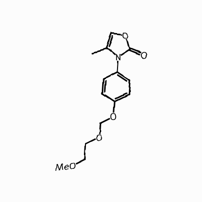 COCCOCOc1ccc(-n2c(C)coc2=O)cc1